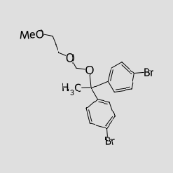 COCCOCOC(C)(c1ccc(Br)cc1)c1ccc(Br)cc1